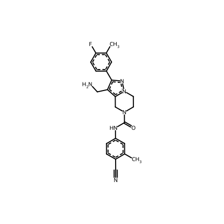 Cc1cc(-c2nn3c(c2CN)CN(C(=O)Nc2ccc(C#N)c(C)c2)CC3)ccc1F